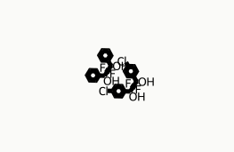 OC(c1ccc(Cl)cc1)C(F)(F)C(O)c1ccc(Cl)cc1.OC(c1ccccc1)C(F)(F)C(O)c1ccccc1